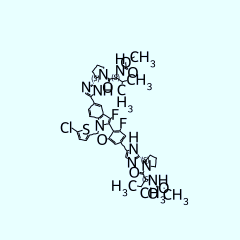 COC(=O)N[C@H](C(=O)N1CCC[C@H]1c1ncc(-c2cc(F)c3c(c2)OC(c2ccc(Cl)s2)n2c-3c(F)c3cc(-c4cnc([C@@H]5CCCN5C(=O)[C@@H](NC(=O)OC)C(C)C)[nH]4)ccc32)[nH]1)C(C)C